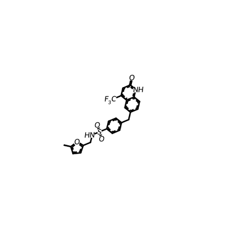 Cc1ccc(CNS(=O)(=O)c2ccc(Cc3ccc4[nH]c(=O)cc(C(F)(F)F)c4c3)cc2)o1